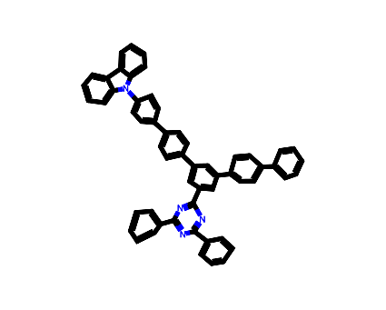 c1ccc(-c2ccc(-c3cc(-c4ccc(-c5ccc(-n6c7ccccc7c7ccccc76)cc5)cc4)cc(-c4nc(-c5ccccc5)nc(-c5ccccc5)n4)c3)cc2)cc1